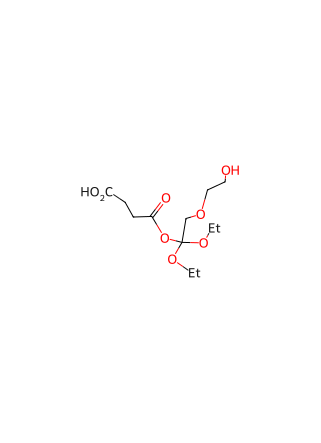 CCOC(COCCO)(OCC)OC(=O)CCC(=O)O